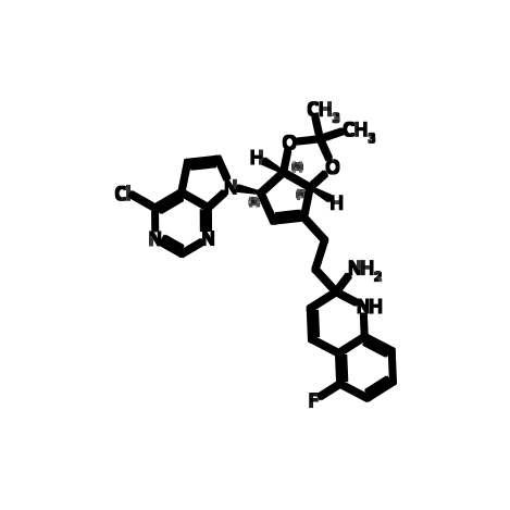 CC1(C)O[C@@H]2[C@H](O1)C(CCC1(N)C=Cc3c(F)cccc3N1)=C[C@H]2n1ccc2c(Cl)ncnc21